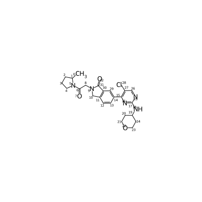 CC1CCCN1C(=O)CN1Cc2ccc(-c3nc(NC4CCOCC4)ncc3Cl)cc2C1=O